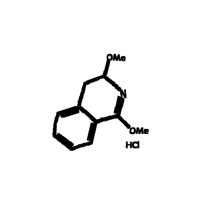 COC1=NC(OC)Cc2ccccc21.Cl